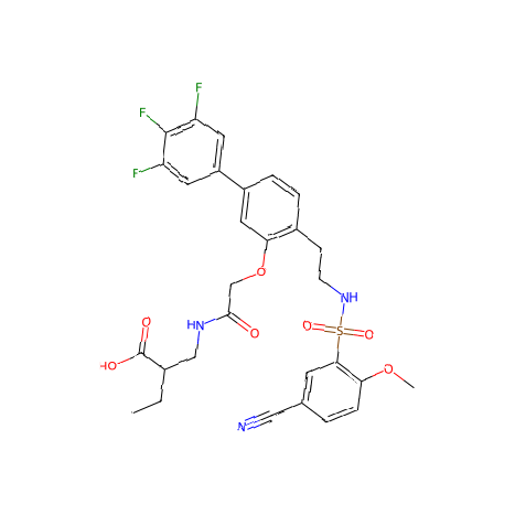 CCC(CNC(=O)COc1cc(-c2cc(F)c(F)c(F)c2)ccc1CCNS(=O)(=O)c1cc(C#N)ccc1OC)C(=O)O